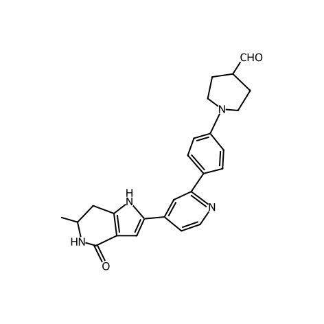 CC1Cc2[nH]c(-c3ccnc(-c4ccc(N5CCC(C=O)CC5)cc4)c3)cc2C(=O)N1